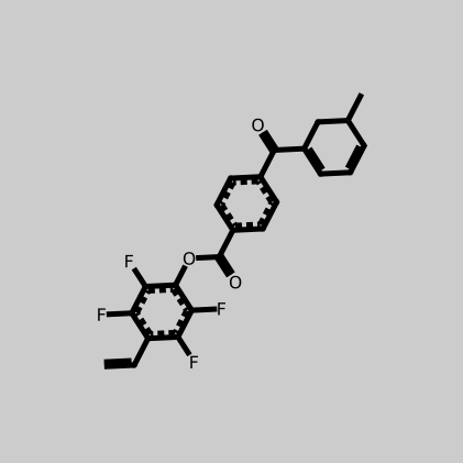 C=Cc1c(F)c(F)c(OC(=O)c2ccc(C(=O)C3=CC=CC(C)C3)cc2)c(F)c1F